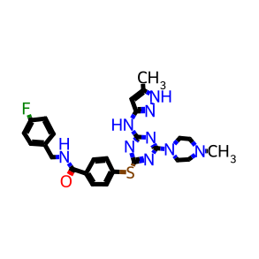 Cc1cc(Nc2nc(Sc3ccc(C(=O)NCc4ccc(F)cc4)cc3)nc(N3CCN(C)CC3)n2)n[nH]1